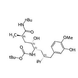 CCCCNC(=O)[C@H](C)C[C@H](O)[C@H](C[C@H](Cc1ccc(OC)c(O)c1)C(C)C)NC(=O)OC(C)(C)C